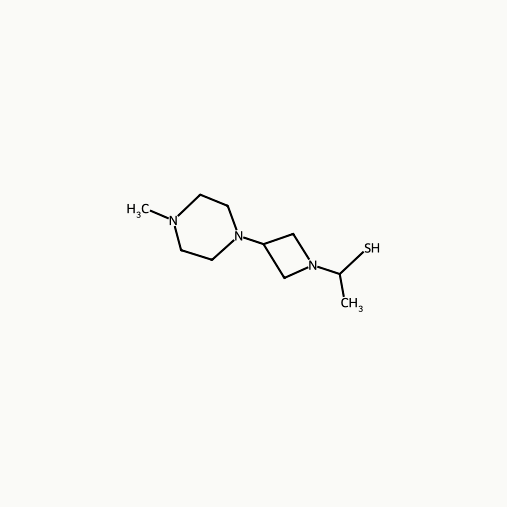 CC(S)N1CC(N2CCN(C)CC2)C1